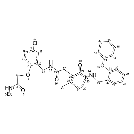 CCNC(=O)COc1ccc(Cl)cc1CNC(=O)Cc1c(C)ccn(NCc2ccccc2Oc2ccccc2)c1=O